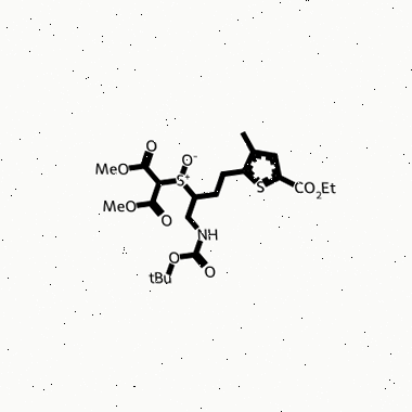 CCOC(=O)c1cc(C)c(CCC(CNC(=O)OC(C)(C)C)[S+]([O-])C(C(=O)OC)C(=O)OC)s1